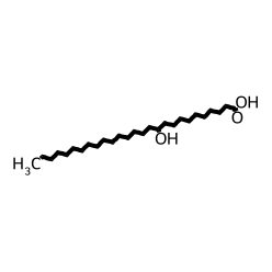 CCCCCCCCCCCCCCCCC(O)CCCCCCCCCC(=O)O